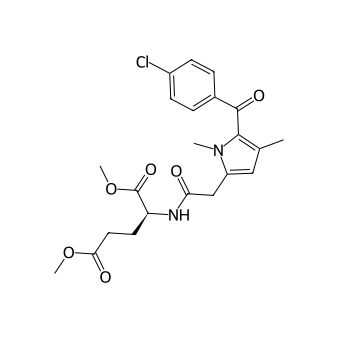 COC(=O)CC[C@H](NC(=O)Cc1cc(C)c(C(=O)c2ccc(Cl)cc2)n1C)C(=O)OC